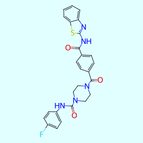 O=C(Nc1nc2ccccc2s1)c1ccc(C(=O)N2CCN(C(=O)Nc3ccc(F)cc3)CC2)cc1